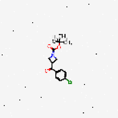 CC(C)(C)OC(=O)N1CC(C(=O)c2ccc(Br)cc2)C1